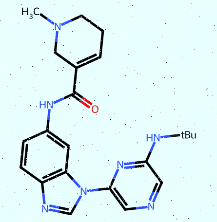 CN1CCC=C(C(=O)Nc2ccc3ncn(-c4cncc(NC(C)(C)C)n4)c3c2)C1